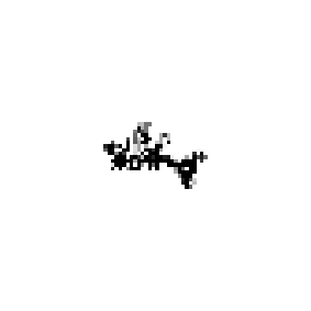 COc1cc(C#Cc2nn([C@H]3CCN(C(=O)OC(C)(C)C)C3)c(NCC(F)(F)F)c2C#N)cc(OC)c1